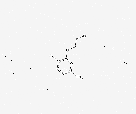 Cc1ccc(Cl)c(OCCBr)c1